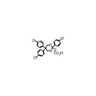 CCOC(=O)OC1(c2ccc(Cl)cc2)OCC(c2ccc(Cl)cc2)(c2ccc(Cl)cc2)CO1